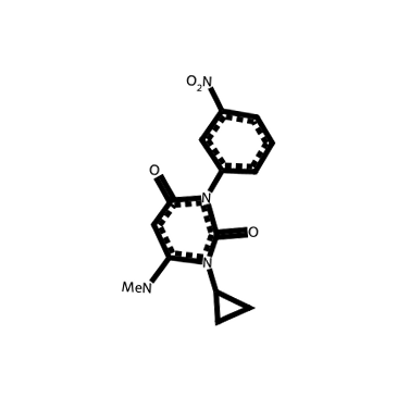 CNc1cc(=O)n(-c2cccc([N+](=O)[O-])c2)c(=O)n1C1CC1